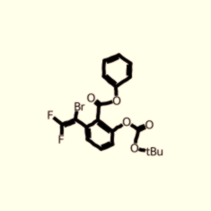 CC(C)(C)OC(=O)Oc1cccc(C(Br)=C(F)F)c1C(=O)Oc1ccccc1